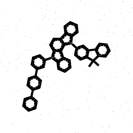 CC1(C)c2ccccc2-c2cc(-n3c4ccccc4c4ccc5c(c6ccccc6n5-c5cccc(-c6ccc(-c7ccccc7)cc6)c5)c43)ccc21